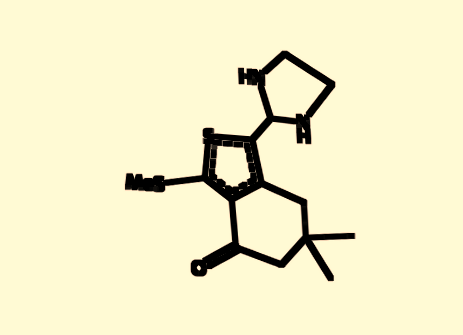 CSc1sc(C2NCCN2)c2c1C(=O)CC(C)(C)C2